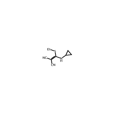 CCSC(NC1CC1)=C(C#N)C#N